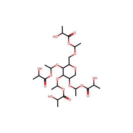 CC(OCC1OCC(OC(C)OC(=O)C(C)O)C(OC(C)OC(=O)C(C)O)C1OC(C)OC(=O)C(C)O)OC(=O)C(C)O